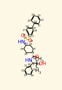 CC(C)(O)[C@@H](NC(=O)[C@H]1CC[C@H](NS(=O)(=O)c2ccc(-c3ccccc3)cc2)CC1)c1ccccc1